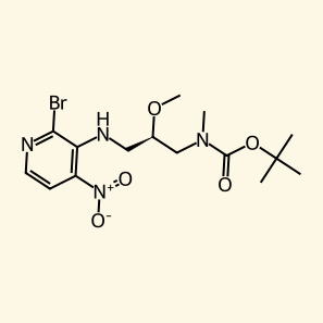 CO[C@H](CNc1c([N+](=O)[O-])ccnc1Br)CN(C)C(=O)OC(C)(C)C